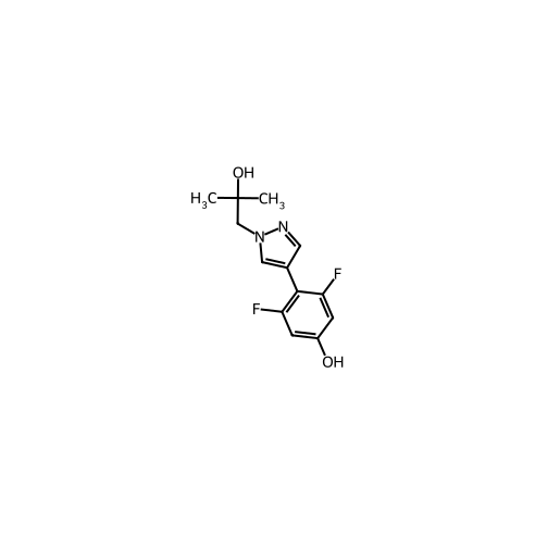 CC(C)(O)Cn1cc(-c2c(F)cc(O)cc2F)cn1